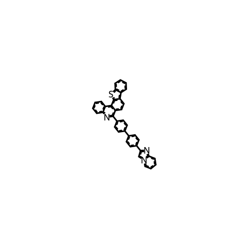 c1ccc2c(c1)nc(-c1ccc(-c3ccc(-c4cn5ccccc5n4)cc3)cc1)c1ccc3c4ccccc4sc3c12